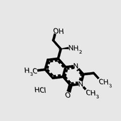 CCc1nc2c([C@H](N)CO)cc(C)cc2c(=O)n1C.Cl